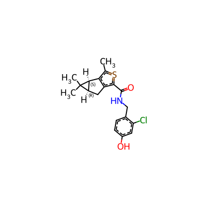 Cc1sc(C(=O)NCc2ccc(O)cc2Cl)c2c1[C@H]1[C@@H](C2)C1(C)C